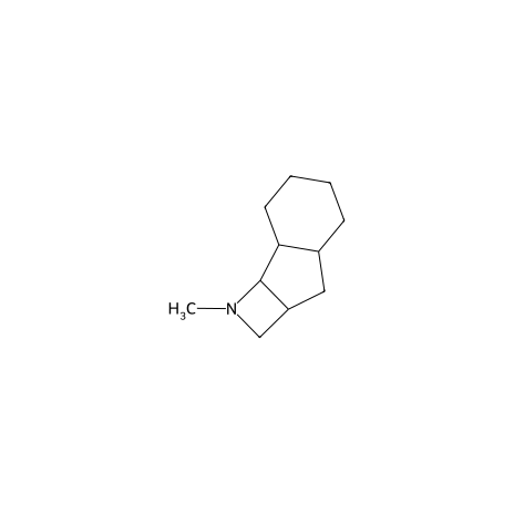 CN1CC2CC3CCCCC3C21